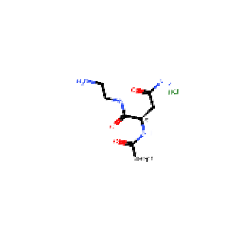 CCCCCCCC(=O)N[C@H](CC(N)=O)C(=O)NCCN.Cl